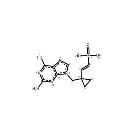 Nc1nc(O)c2ncn(CC3(C=CP(=O)(O)O)CC3)c2n1